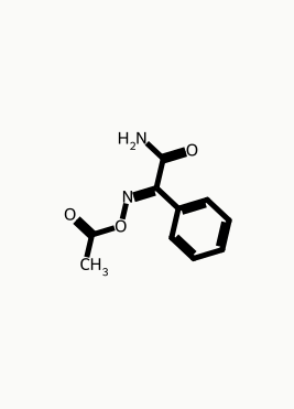 CC(=O)O/N=C(/C(N)=O)c1ccccc1